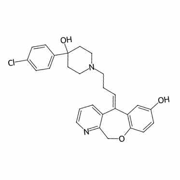 Oc1ccc2c(c1)/C(=C/CCN1CCC(O)(c3ccc(Cl)cc3)CC1)c1cccnc1CO2